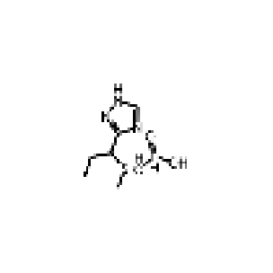 CCC(SC)c1nc[nH]n1.O=[PH](O)O